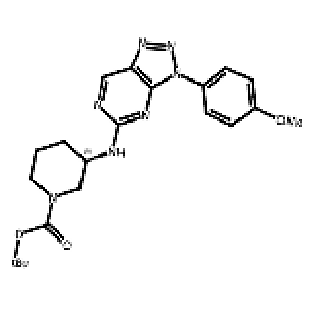 COc1ccc(-n2nnc3cnc(N[C@@H]4CCCN(C(=O)OC(C)(C)C)C4)nc32)cc1